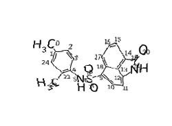 Cc1ccc(NS(=O)(=O)c2ccc3c4c(cccc24)C(=O)N3)c(C)c1